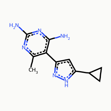 Cc1nc(N)nc(N)c1-c1cc(C2CC2)[nH]n1